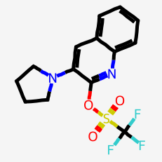 O=S(=O)(Oc1nc2ccccc2cc1N1CCCC1)C(F)(F)F